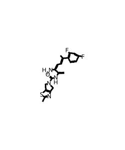 C=C(NC(=O)N1Cc2nc(C)sc2C1)/C(N)=C\C=C(/C)c1ccc(F)cc1F